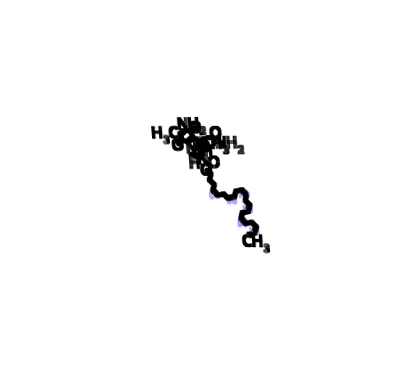 CC/C=C\C/C=C\C/C=C\C/C=C\C/C=C\C/C=C\CCCOC(=O)N1[C@H]2[C@@H]1CN1C3=C(C(=O)C(N)=C(C)C3=O)[C@@H](COC(N)=O)[C@@]21OC